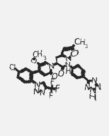 COc1cn([C@@H](Cc2cc(C)on2)C(=O)Nc2ccc(-c3nn[nH]n3)cc2)c(=O)cc1-c1cc(Cl)ccc1-n1cc(C(F)(F)F)nn1